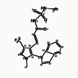 CCCNS(=O)(=O)NC(=O)C=Cc1c(C(F)(F)F)nn(C)c1-n1ccc2cccnc21